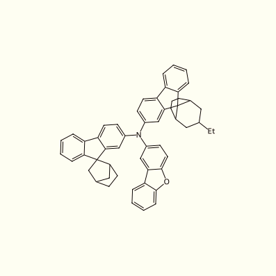 CCC1CC2CCCC(C1)C21c2ccccc2-c2ccc(N(c3ccc4c(c3)C3(CC5CCC3C5)c3ccccc3-4)c3ccc4oc5ccccc5c4c3)cc21